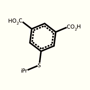 CC(C)Sc1cc(C(=O)O)cc(C(=O)O)c1